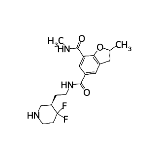 CNC(=O)c1cc(C(=O)NCC[C@@H]2CNCCC2(F)F)cc2c1OC(C)C2